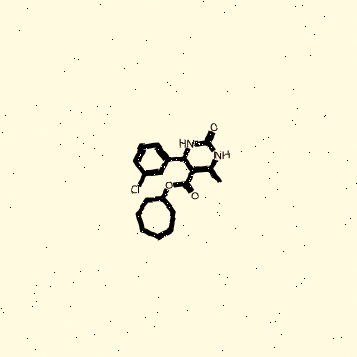 CC1=C(C(=O)OC2CCCCCC2)C(c2cccc(Cl)c2)NC(=O)N1